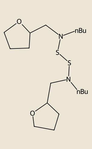 CCCCN(CC1CCCO1)SSN(CCCC)CC1CCCO1